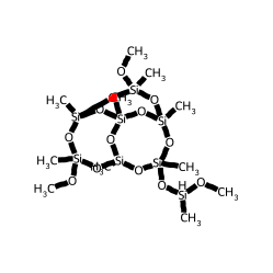 CO[SiH](C)O[Si]1(C)O[Si]2(C)O[Si](C)(OC)O[Si]3(C)O[Si](C)(OC)O[Si](C)(O1)O[Si](C)(O3)O2